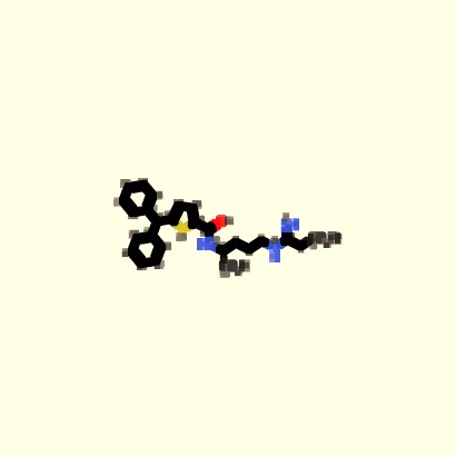 CCOC(=O)CC(=N)NCCC[C@H](NC(=O)c1ccc(C(c2ccccc2)c2ccccc2)s1)C(=O)O